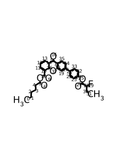 CCCCCC(=O)OC(=O)C1=CC=CC(C(=O)c2ccc(-c3ccc(OC(=O)C(F)CC)cc3)cc2)C1=O